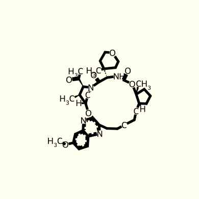 COc1ccc2nc3c(nc2c1)O[C@H]1CN(C(=O)[C@H](C2(C)CCOCC2)NC(=O)O[C@]2(C)CCC[C@H]2CCCCC3)[C@H](C(C)=O)[C@@H]1C